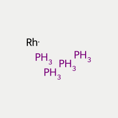 P.P.P.P.[Rh]